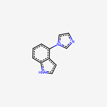 c1cc(-n2ccnc2)c2cc[nH]c2c1